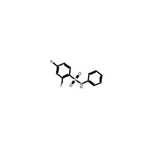 O=S(=O)(Nc1cc[c]cc1)c1ccc(F)cc1F